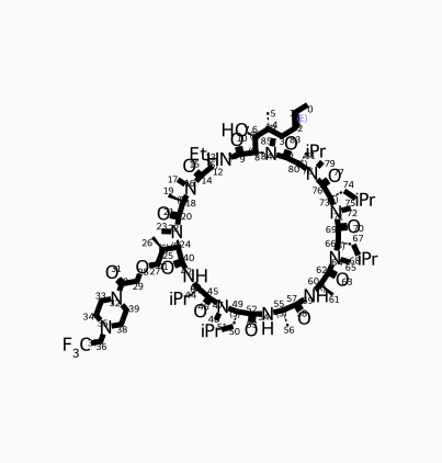 C/C=C/C[C@@H](C)[C@@H](O)[C@H]1C(=O)N[C@@H](CC)C(=O)N(C)[C@H](C)C(=O)N(C)[C@@H]([C@H](C)COCC(=O)N2CCN(CC(F)(F)F)CC2)C(=O)N[C@@H](C(C)C)C(=O)N(C)[C@@H](CC(C)C)C(=O)N[C@@H](C)C(=O)N[C@H](C)C(=O)N(C)[C@@H](CC(C)C)C(=O)N(C)[C@@H](CC(C)C)C(=O)N(C)[C@@H](C(C)C)C(=O)N1C